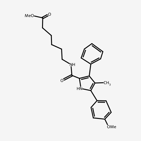 COC(=O)CCCCCNC(=O)c1[nH]c(-c2ccc(OC)cc2)c(C)c1-c1ccccc1